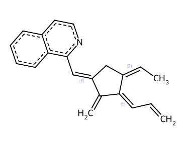 C=C/C=C1/C(=C)/C(=C/c2nccc3ccccc23)C/C1=C/C